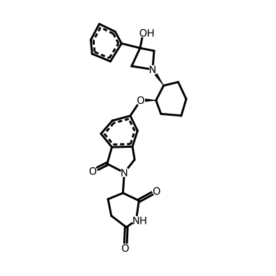 O=C1CCC(N2Cc3cc(O[C@@H]4CCCC[C@@H]4N4CC(O)(c5ccccc5)C4)ccc3C2=O)C(=O)N1